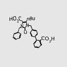 CCCCc1c(C(=O)O)n(Cc2ccccc2)c(=O)n1Cc1ccc(-c2ccccc2C(=O)O)cc1